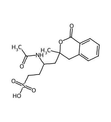 CC(=O)NC(CCS(=O)(=O)O)CC1(C)Cc2ccccc2C(=O)O1